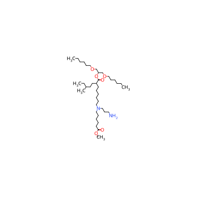 CCCCCCOCC(COCCCCCC)OC(=O)C(CCCCCCN(CCCN)CCCCCC(=O)OC)CCC(C)CC